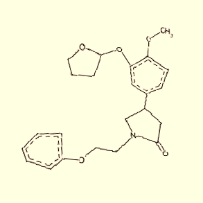 COc1ccc(C2CC(=O)N(CCOc3ccccc3)C2)cc1OC1CCCO1